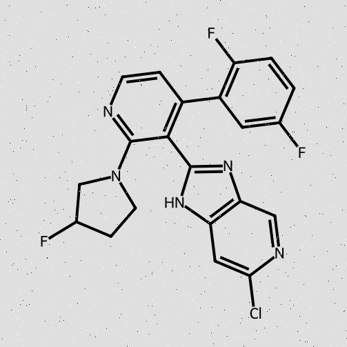 Fc1ccc(F)c(-c2ccnc(N3CCC(F)C3)c2-c2nc3cnc(Cl)cc3[nH]2)c1